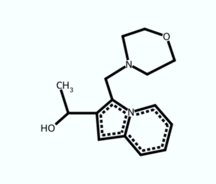 CC(O)c1cc2ccccn2c1CN1CCOCC1